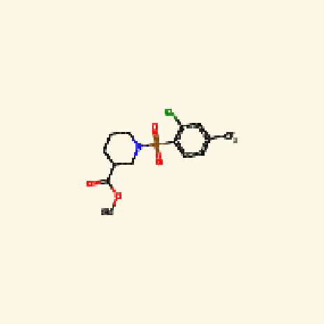 CC(C)(C)OC(=O)C1CCCN(S(=O)(=O)c2ccc(C(F)(F)F)cc2Cl)C1